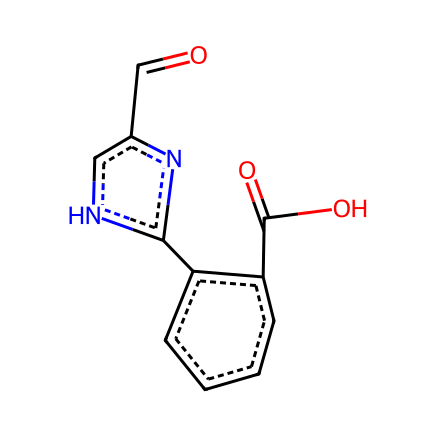 O=Cc1c[nH]c(-c2ccccc2C(=O)O)n1